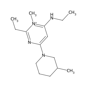 CCNc1cc(N2CCCC(C)C2)nc(CC)[n+]1C